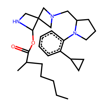 CCCCCC(C)C(=O)OC1NCC12CN(CC1CCCN1c1ccccc1C1CC1)C2